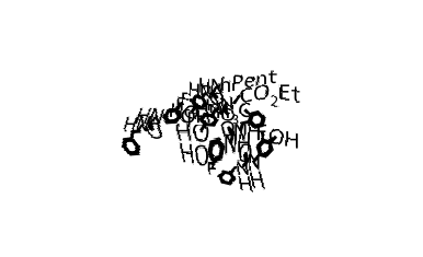 CCCCCNC(=O)Nc1ccc(O)c(F)c1.CCOC(=O)CCNC(=O)Nc1ccc(O)c(F)c1.Cc1ccccc1CNC(=O)Nc1ccc(O)c(F)c1.O=C(NCCc1ccccc1)Nc1ccc(O)c(F)c1.O=C(NCc1ccccc1)Nc1ccc(O)c(F)c1